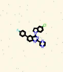 Fc1ccc(-c2ccc3nc(-c4cnccn4)nc(N4CCc5cc(Cl)ccc54)c3c2)cc1